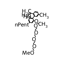 C=C(C)c1ccc(C)cc1-c1c(O)cc(CCCCC)cc1OC(C)OCCOCCOCCOCCOC